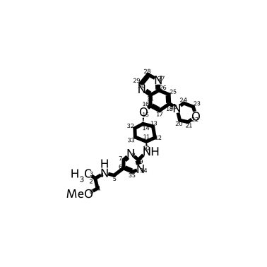 COCC(C)NCc1cnc(N[C@H]2CC[C@@H](Oc3cc(N4CCOCC4)cc4nccnc34)CC2)nc1